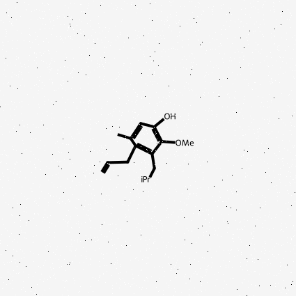 C=CCc1c(C)cc(O)c(OC)c1CC(C)C